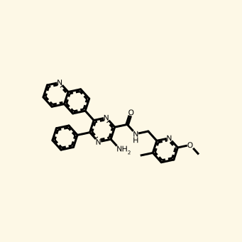 COc1ccc(C)c(CNC(=O)c2nc(-c3ccc4ncccc4c3)c(-c3ccccc3)nc2N)n1